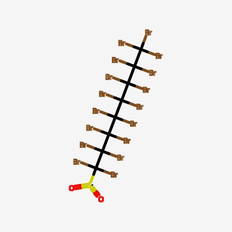 O=[S](=O)C(Br)(Br)C(Br)(Br)C(Br)(Br)C(Br)(Br)C(Br)(Br)C(Br)(Br)C(Br)(Br)C(Br)(Br)Br